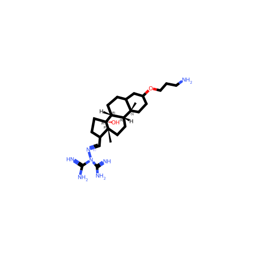 C[C@]12CCC(OCCCN)CC1CC[C@@H]1[C@H]2CC[C@]2(C)C(/C=N/N(C(=N)N)C(=N)N)CC[C@@]12O